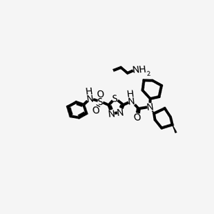 CCCN.C[C@H]1CC[C@H](N(C(=O)Nc2nnc(S(=O)(=O)Nc3ccccc3)s2)C2CCCCC2)CC1